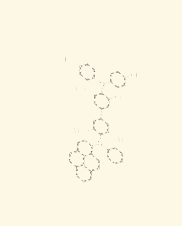 Cc1ccc(N(c2ccc(C)cc2)c2c(C)cc(-c3cc(C)c(N(c4ccc(C)cc4)c4ccc5ccc6cccc7ccc4c5c67)c(C)c3)cc2C)cc1